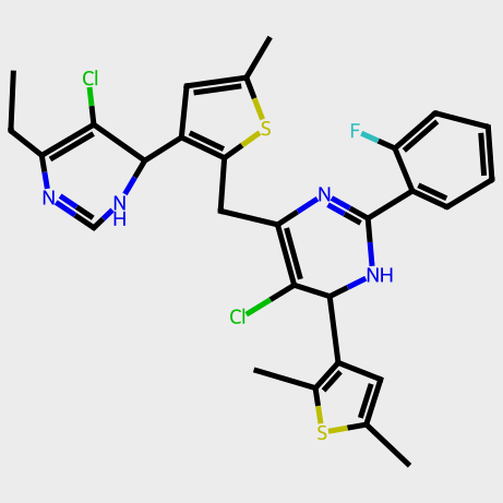 CCC1=C(Cl)C(c2cc(C)sc2CC2=C(Cl)C(c3cc(C)sc3C)NC(c3ccccc3F)=N2)NC=N1